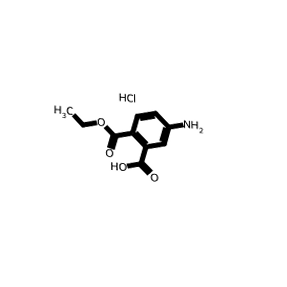 CCOC(=O)c1ccc(N)cc1C(=O)O.Cl